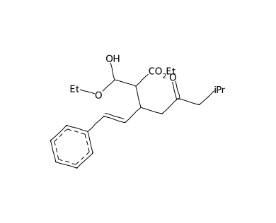 CCOC(=O)C(C(/C=C/c1ccccc1)CC(=O)CC(C)C)C(O)OCC